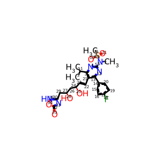 CC(C)c1nc(N(C)S(C)(=O)=O)nc(-c2ccc(F)cc2)c1/C=C/[C@@H](O)C[C@@H](O)Cc1nc(=O)o[nH]1